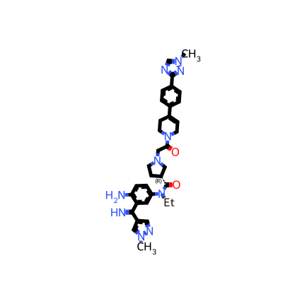 CCN(C(=O)[C@@H]1CCN(CC(=O)N2CC=C(c3ccc(-c4ncn(C)n4)cc3)CC2)C1)c1ccc(N)c(C(=N)c2cnn(C)c2)c1